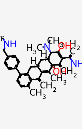 C=C(N)C1=C(O)C(N(C)C)[C@@H]2C[C@@H]3Cc4c(-c5ccc(CNC(C)C)cc5)ccc(C)c4C(=C)C3=C(C)[C@]2(O)C1=C